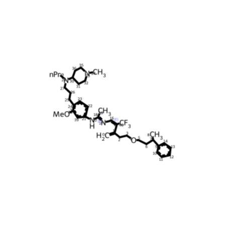 C=C(CCOCCC(C)c1ccccc1)/C(=C\N=C(/C)Nc1ccc(CCCN(CCC)C2CCN(C)CC2)c(OC)c1)C(F)(F)F